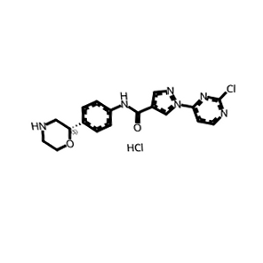 Cl.O=C(Nc1ccc([C@H]2CNCCO2)cc1)c1cnn(-c2ccnc(Cl)n2)c1